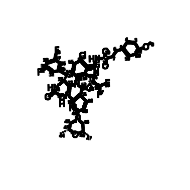 COc1ccc(CCS(=O)(=O)Nc2nn(CC(F)F)c3c(-n4c([C@H](Cc5cc(F)cc(F)c5)NC(=O)O)nc5nc(N6C[C@@H](C)O[C@@H](C)C6)ccc5c4=O)ccc(Cl)c23)cc1